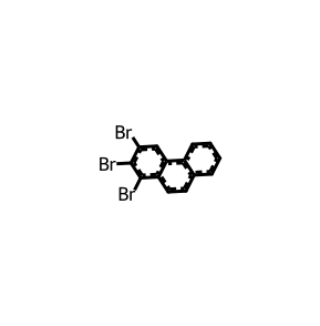 Brc1cc2c(ccc3ccccc32)c(Br)c1Br